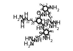 Cc1cc(N)c(CCCNC(=N)N)c(NC(=O)c2cc(CCCNC(=N)N)cc(C(=O)Nc3cc(C)cc(N)c3SCCNC(=N)N)c2)c1